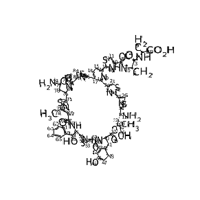 C=C(NC(=O)C(=C)NC(=O)c1csc(-c2ccc3c(n2)-c2csc(n2)-c2csc(n2)C(N)C(C)C(CO)OC(=O)C(Cc2ccc(O)cc2)NC(=O)c2csc(n2)C(C(O)c2ccccc2)NC(=O)c2nc(sc2C)C(CC(N)=O)NC(=O)c2csc-3n2)n1)C(=O)O